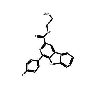 CNCCNC(=O)c1cc2c([nH]c3ccccc32)c(-c2ccc(F)cc2)n1